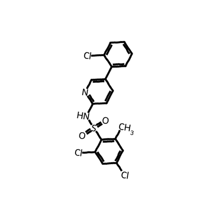 Cc1cc(Cl)cc(Cl)c1S(=O)(=O)Nc1ccc(-c2ccccc2Cl)cn1